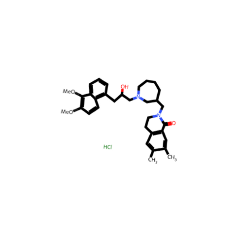 COc1ccc2c(CC(O)CN3CCCCC(CN4CCc5cc(C)c(C)cc5C4=O)C3)cccc2c1OC.Cl